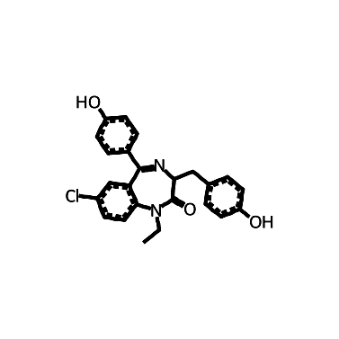 CCN1C(=O)C(Cc2ccc(O)cc2)N=C(c2ccc(O)cc2)c2cc(Cl)ccc21